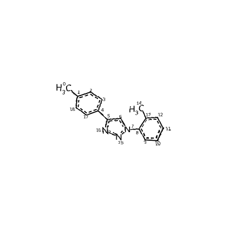 Cc1ccc(-c2cn(-c3ccccc3C)nn2)cc1